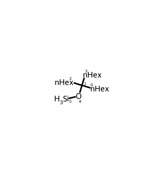 CCCCCCC(CCCCCC)(CCCCCC)O[SiH3]